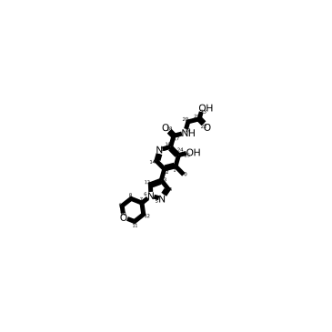 Cc1c(-c2cnn(C3CCOCC3)c2)cnc(C(=O)NCC(=O)O)c1O